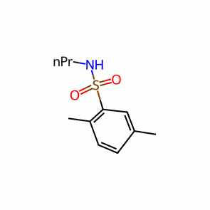 CCCNS(=O)(=O)c1cc(C)ccc1C